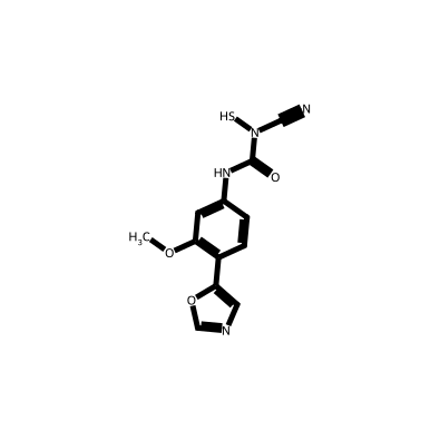 COc1cc(NC(=O)N(S)C#N)ccc1-c1cnco1